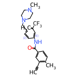 C#Cc1cc(C(=O)NC(/C=C\CCN2CCN(C)CC2)=C/C(=C)C(F)(F)F)ccc1C